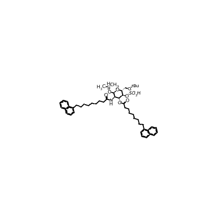 C[SiH](C)OC1O[C@H](COC(C)(C)C)[C@@H](OS(=O)(=O)O)[C@H](OC(=O)CCCCCCCCc2cccc3ccccc23)[C@H]1NC(=O)CCCCCCCCc1cccc2ccccc12